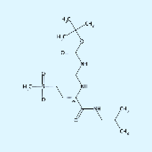 CC(C)CNC(=O)[C@H](CCS(C)(=O)=O)NCNC(=O)OC(C)(C)C